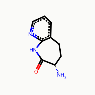 N[C@H]1CCc2cccnc2NC1=O